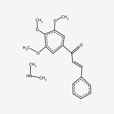 CNC.COc1cc(C(=O)C=Cc2ccccc2)cc(OC)c1OC